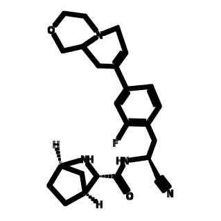 N#C[C@H](Cc1ccc(C2=CCN3CCOCC3C2)cc1F)NC(=O)[C@H]1N[C@@H]2CC[C@H]1C2